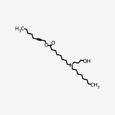 CCCCCC#CCOC(=O)CCCCCCCN(CCCO)CCCCCCCC